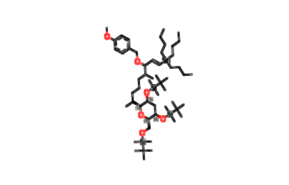 CCC[CH2][Sn]([CH]=CC(OCc1ccc(OC)cc1)C(C)CCCC(C)[C@@H]1O[C@H](CO[Si](C)(C)C(C)(C)C)[C@H](O[Si](C)(C)C(C)(C)C)C[C@@H]1O[Si](C)(C)C(C)(C)C)([CH2]CCC)[CH2]CCC